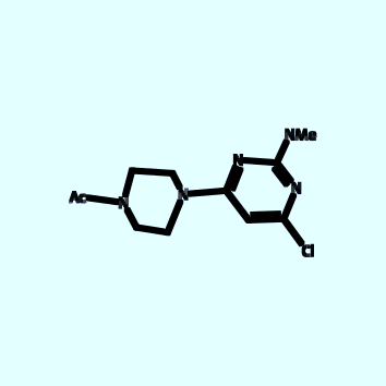 CNc1nc(Cl)cc(N2CCN(C(C)=O)CC2)n1